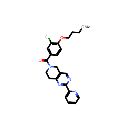 COCCCOc1ccc(C(=O)N2CCc3nc(-c4ccccn4)ncc3C2)cc1Cl